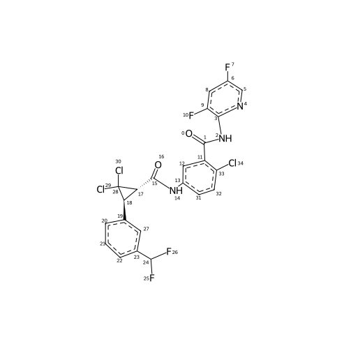 O=C(Nc1ncc(F)cc1F)c1cc(NC(=O)[C@@H]2[C@@H](c3cccc(C(F)F)c3)C2(Cl)Cl)ccc1Cl